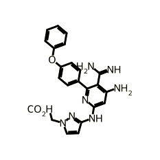 N=C(N)c1c(N)cc(Nc2ccn(CC(=O)O)n2)nc1-c1ccc(Oc2ccccc2)cc1